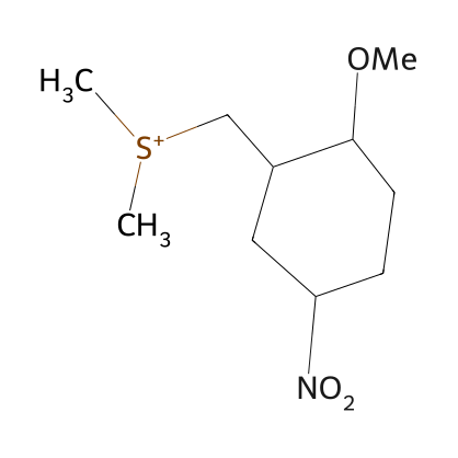 COC1CCC([N+](=O)[O-])CC1C[S+](C)C